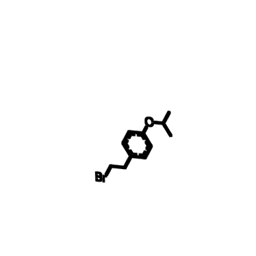 CC(C)Oc1ccc(CCBr)cc1